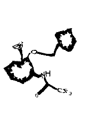 O=C(Nc1cccc(Br)c1OCc1ccccc1)C(F)(F)F